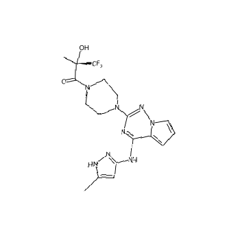 Cc1cc(Nc2nc(N3CCN(C(=O)[C@](C)(O)C(F)(F)F)CC3)nn3cccc23)n[nH]1